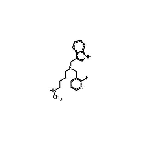 CNCCCCN(Cc1cccnc1F)Cc1c[nH]c2ccccc12